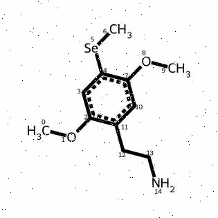 COc1cc([Se]C)c(OC)cc1CCN